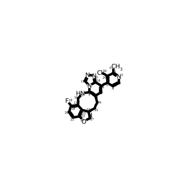 Cc1nccc(-c2cc3c(n4cnnc24)NCc2c(F)ccc4c2[C@@H](CC3)CO4)c1Cl